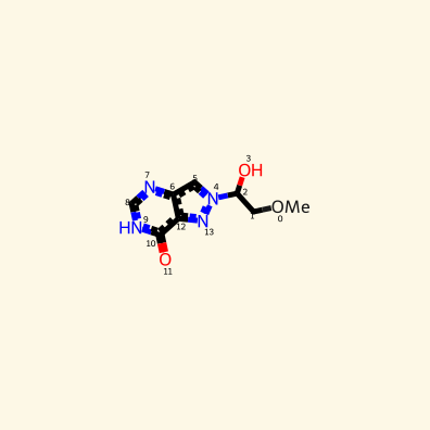 COCC(O)n1cc2nc[nH]c(=O)c2n1